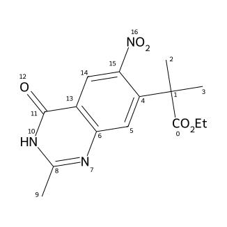 CCOC(=O)C(C)(C)c1cc2nc(C)[nH]c(=O)c2cc1[N+](=O)[O-]